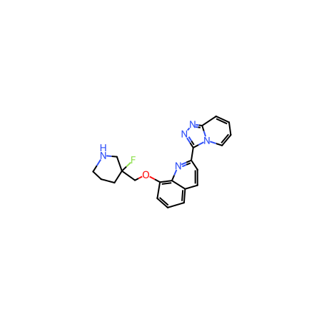 FC1(COc2cccc3ccc(-c4nnc5ccccn45)nc23)CCCNC1